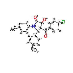 CC(=O)c1ccc(N2C(=O)C(=O)C(C(=O)c3ccc(Cl)cc3)C2c2ccc([N+](=O)[O-])cc2)cc1